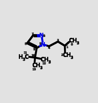 CC(C)CCn1nccc1C(C)(C)C